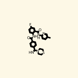 Cc1ccc(NC(=O)c2cc(F)ccc2NC(=O)c2ccc(C(=N)N3CCSCC3)cc2)nc1